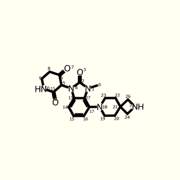 Cn1c(=O)n(C2C(=O)CCNC2=O)c2cccc(N3CCC4(CC3)CNC4)c21